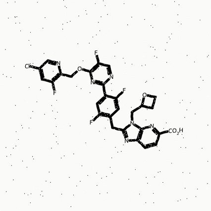 O=C(O)c1ccc2nc(Cc3cc(F)c(-c4ncc(F)c(OCc5ncc(Cl)cc5F)n4)cc3F)n(CC3CCO3)c2n1